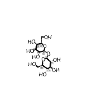 OC[C@H]1O[C@@H](O[C@@H]2O[C@H](CO)[C@@H](O)[C@H](O)[C@H]2O)[C@H](O)[C@@H](O)[C@@H]1O